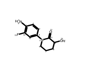 Nc1ccc(N2CCCC(O)C2=O)cc1F